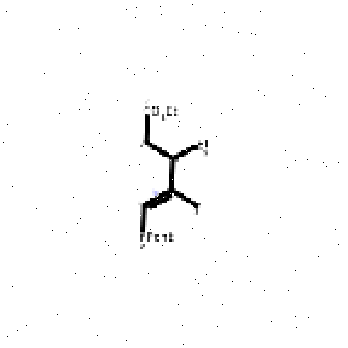 CCCCC/C=C(\C)C(CC)CC(=O)OCC